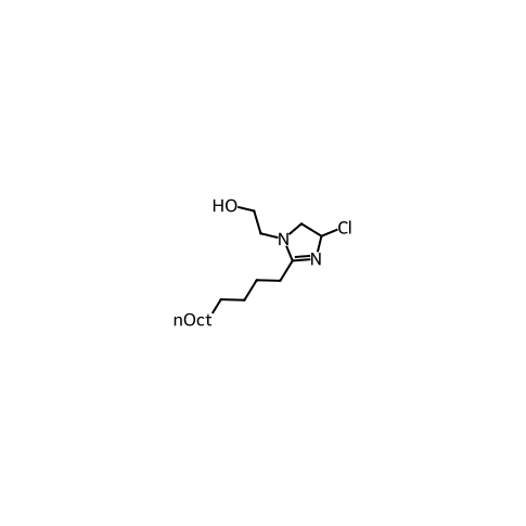 CCCCCCCCCCCCC1=NC(Cl)CN1CCO